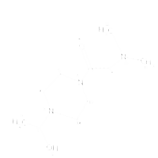 [CH2]C(O)N1CCN(C(=O)CN(C)C)CC1